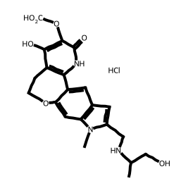 CC(CO)NCc1cc2cc3c(cc2n1C)OCCc1c-3[nH]c(=O)c(OC(=O)O)c1O.Cl